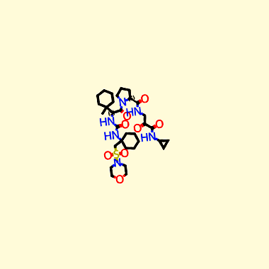 CC1([C@H](NC(=O)NC2(CS(=O)(=O)N3CCOCC3)CCCCC2)C(=O)N2CCC[C@H]2C(=O)NCC(=O)C(=O)NC2CC2)CCCCC1